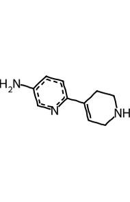 Nc1ccc(C2=CCNCC2)nc1